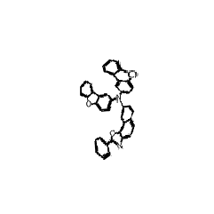 c1ccc(-c2nc3ccc4ccc(N(c5ccc6oc7ccccc7c6c5)c5ccc6oc7ccccc7c6c5)cc4c3o2)cc1